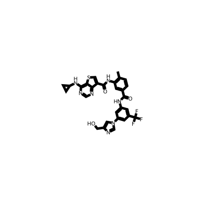 Cc1ccc(C(=O)Nc2cc(-n3cnc(CO)c3)cc(C(F)(F)F)c2)cc1NC(=O)c1csc2c(NC3CC3)ncnc12